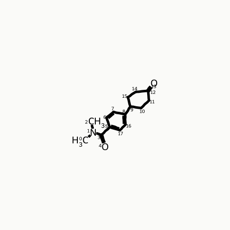 CN(C)C(=O)c1ccc(C2CCC(=O)CC2)cc1